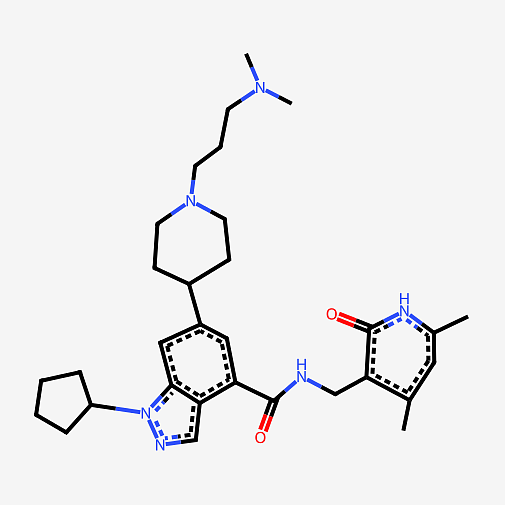 Cc1cc(C)c(CNC(=O)c2cc(C3CCN(CCCN(C)C)CC3)cc3c2cnn3C2CCCC2)c(=O)[nH]1